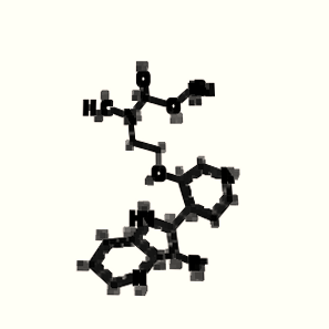 CN(CCOc1cnccc1-c1[nH]c2cccnc2c1Br)C(=O)OC(C)(C)C